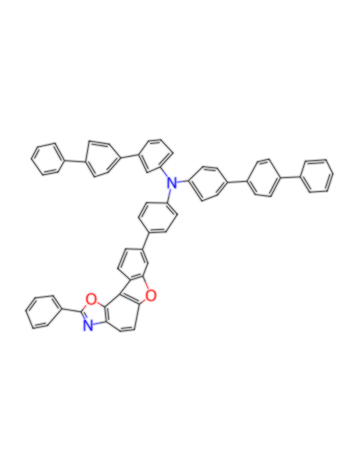 c1ccc(-c2ccc(-c3ccc(N(c4ccc(-c5ccc6c(c5)oc5ccc7nc(-c8ccccc8)oc7c56)cc4)c4cccc(-c5ccc(-c6ccccc6)cc5)c4)cc3)cc2)cc1